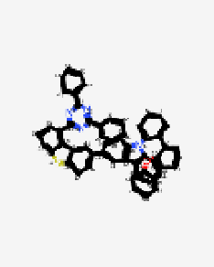 C1=C=C(c2ccccc2-n2c3c(c4cc(-c5ccc6sc7cccc(-c8nc(-c9ccccc9)nc(-c9ccccc9)n8)c7c6c5)ccc42)C=CCC3)c2oc3ccccc3c2C=1